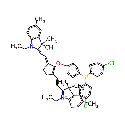 CCN1/C(=C/C=C2\CCC(/C=C/C3=[N+](CC)c4ccc(C)cc4C3(C)C)=C2Oc2ccc([S+](c3ccc(Cl)cc3)c3ccc(Cl)cc3)cc2)C(C)(C)c2cc(C)ccc21